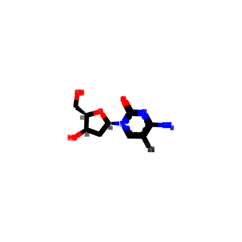 CCc1cn([C@@H]2C[C@@H](O)[C@H](CO)O2)c(=O)nc1N